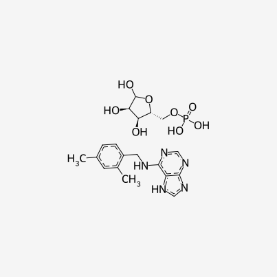 Cc1ccc(CNc2ncnc3nc[nH]c23)c(C)c1.O=P(O)(O)OC[C@H]1OC(O)[C@H](O)[C@@H]1O